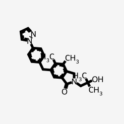 Cc1c(Cc2ccc(-n3cccn3)cc2)cc2c(c1C)CN(CC(C)(C)O)C2=O